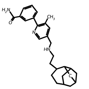 Cc1cc(CNCCC2CCC3CC4CC(C3)C2C4)cnc1-c1cccc(C(N)=O)c1